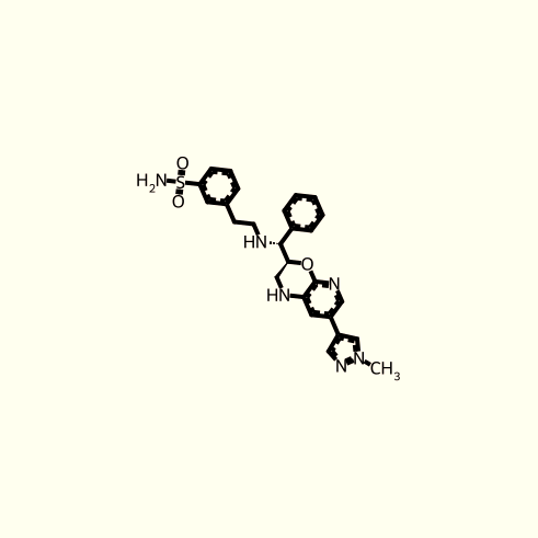 Cn1cc(-c2cnc3c(c2)NC[C@@H]([C@H](NCCc2cccc(S(N)(=O)=O)c2)c2ccccc2)O3)cn1